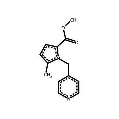 COC(=O)c1ccc(C)n1Cc1ccncc1